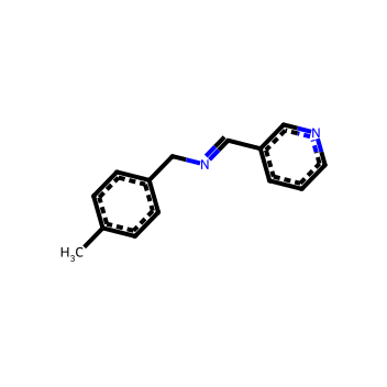 Cc1ccc(CN=Cc2cccnc2)cc1